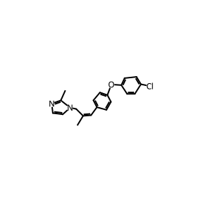 CC(=Cc1ccc(Oc2ccc(Cl)cc2)cc1)Cn1ccnc1C